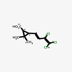 CC1(C)C(C=CC(Cl)=C(Cl)Cl)C1C(=O)O